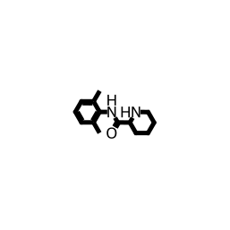 Cc1cccc(C)c1NC(=O)C1CCCCN1